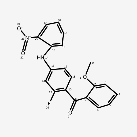 COc1ccccc1C(=O)c1ccc(Nc2ccccc2[N+](=O)[O-])cc1F